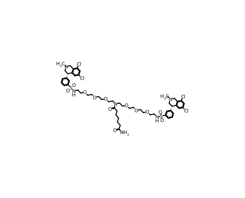 CN1Cc2c(Cl)cc(Cl)cc2[C@H](c2cccc(S(=O)(=O)NCCOCCOCCOCCN(CCOCCOCCOCCNS(=O)(=O)c3cccc([C@@H]4CN(C)Cc5c(Cl)cc(Cl)cc54)c3)C(=O)CCCCCC(N)=O)c2)C1